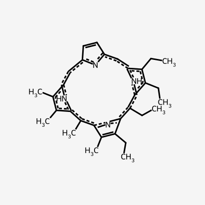 CCC1=C(C)c2nc1c(CC)c1[nH]c(cc3nc(cc4[nH]c(c2C)c(C)c4C)C=C3)c(CC)c1CC